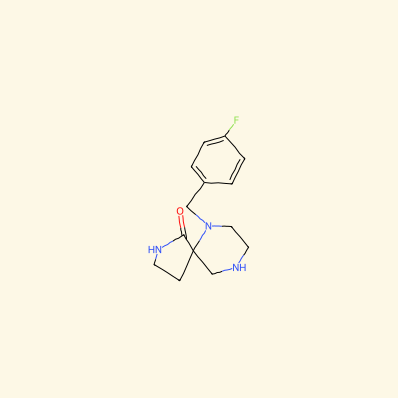 O=C1NCCC12CNCCN2Cc1ccc(F)cc1